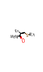 CCSC=C(CC)C(=O)NC